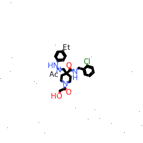 CCc1ccc(NN(CC2(C(=O)NCc3ccccc3Cl)CCN(C(=O)CO)CC2)C(C)=O)cc1